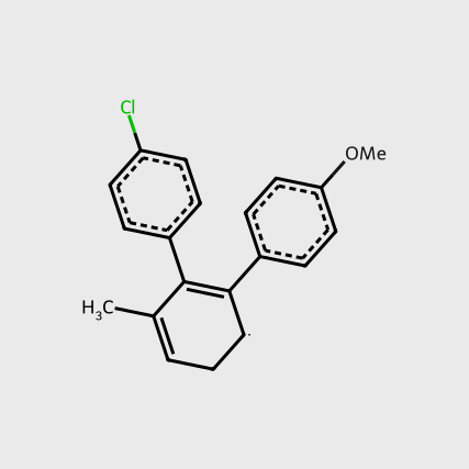 COc1ccc(C2=C(c3ccc(Cl)cc3)C(C)=CC[CH]2)cc1